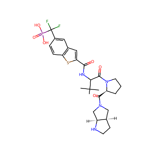 CC(C)(C)C(NC(=O)c1cc2cc(C(F)(F)P(=O)(O)O)ccc2s1)C(=O)N1CCC[C@H]1C(=O)N1C[C@H]2CCN[C@H]2C1